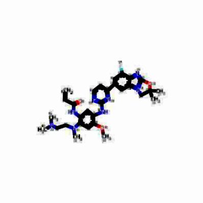 C=CC(=O)Nc1cc(Nc2nccc(-c3cc(F)c4nc5n(c4c3)CC(C)(C)O5)n2)c(OC)cc1N(C)CCN(C)C